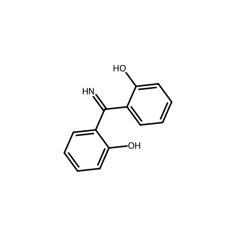 N=C(c1ccccc1O)c1ccccc1O